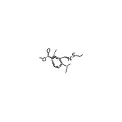 CCSN=Cc1c(C(C)C)ccc(C(=O)OC)c1C